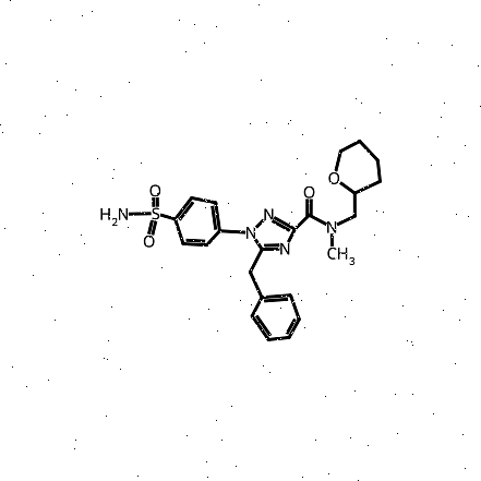 CN(CC1CCCCO1)C(=O)c1nc(Cc2ccccc2)n(-c2ccc(S(N)(=O)=O)cc2)n1